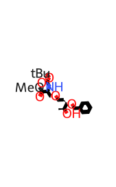 COC(=O)C(COCC[C@H](OCc1ccccc1)[C@H](C)O)NC(=O)OC(C)(C)C